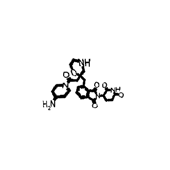 NC1CCN(C(=O)CC2(Cc3cccc4c3C(=O)N(C3CCC(=O)NC3=O)C4=O)CNCCO2)CC1